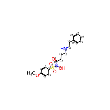 COc1ccc(S(=O)(=O)N(O)C(=O)CCCNCCc2ccccc2)cc1